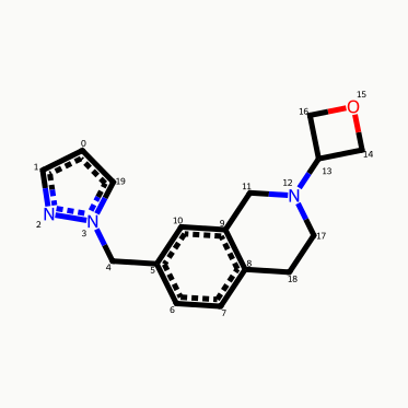 c1cnn(Cc2ccc3c(c2)CN(C2COC2)CC3)c1